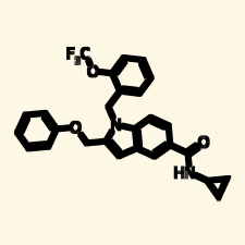 O=C(NC1CC1)c1ccc2c(c1)cc(COc1ccccc1)n2Cc1ccccc1OC(F)(F)F